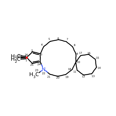 C=C/C=C1/CCCCCCC2(CCCCCCC2)CCCCN(C)/C1=C/C=C